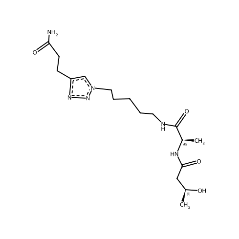 C[C@H](O)CC(=O)N[C@H](C)C(=O)NCCCCCn1cc(CCC(N)=O)nn1